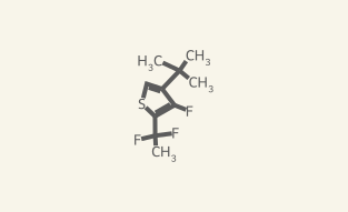 CC(C)(C)c1csc(C(C)(F)F)c1F